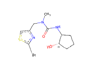 CC(C)c1nc(CN(C)C(=O)NC2CCC[C@@H]2O)cs1